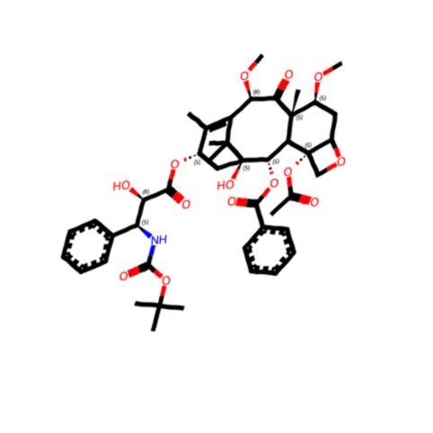 CO[C@H]1C(=O)[C@@]2(C)C([C@H](OC(=O)c3ccccc3)[C@]3(O)C[C@H](OC(=O)[C@H](O)[C@@H](NC(=O)OC(C)(C)C)c4ccccc4)C(C)=C1C3(C)C)[C@]1(OC(C)=O)COC1C[C@@H]2OC